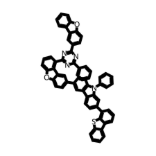 c1ccc(-c2nc(-c3ccc4oc5ccccc5c4c3)nc(-c3cccc4oc5ccc(-c6ccc7c(c6)c6ccc(-c8cccc9c8sc8ccccc89)cc6n7-c6ccccc6)cc5c34)n2)cc1